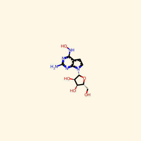 Nc1nc(NO)c2ccn([C@@H]3O[C@H](CO)[C@@H](O)[C@H]3O)c2n1